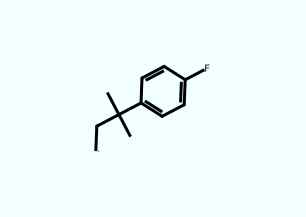 [CH2]CC(C)(C)c1ccc(F)cc1